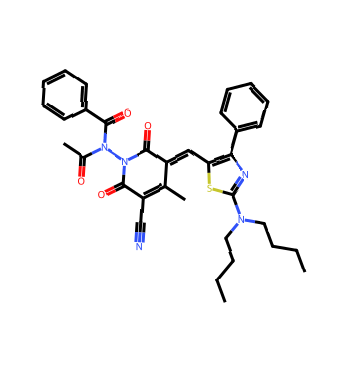 CCCCN(CCCC)c1nc(-c2ccccc2)c(C=C2C(=O)N(N(C(C)=O)C(=O)c3ccccc3)C(=O)C(C#N)=C2C)s1